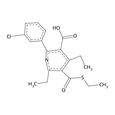 CCSC(=O)c1c(CC)nc(-c2cccc(Cl)c2)c(C(=O)O)c1CC